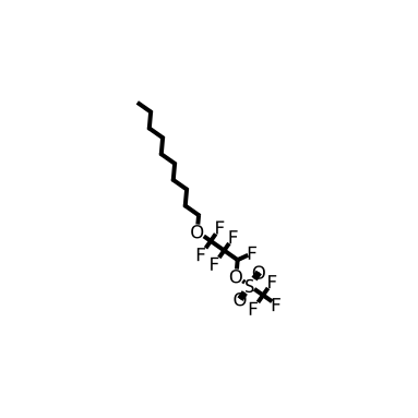 CCCCCCCCCCOC(F)(F)C(F)(F)C(F)OS(=O)(=O)C(F)(F)F